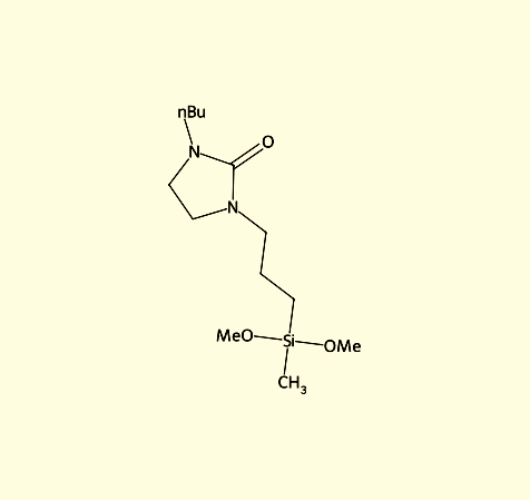 CCCCN1CCN(CCC[Si](C)(OC)OC)C1=O